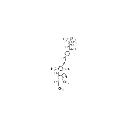 CCOC(=O)CCN(C(=O)c1cc(C)c(C#CCNc2ccc(C(=N)NC(=O)OC(C)(C)C)cc2)cc1C)c1ccnn1CC